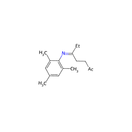 CCC(CCC(C)=O)=Nc1c(C)cc(C)cc1C